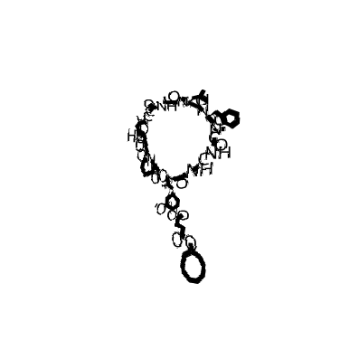 CO[C@@H]1C[C@H](C[C@@H](C)[C@@H]2CC(=O)NCCNC(=O)CN(C)C(=O)[C@H](Cc3ccccc3)NC(=O)[C@H](CC(C)C)N(C)C(=O)[C@H](C)NC(=O)CC[C@@H]3CC[C@@H](C)[C@@](O)(O3)C(=O)C(=O)N3CCCC[C@H]3C(=O)O2)CC[C@H]1OC(=O)CCC(=O)OC1CCCCCCCC1